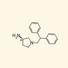 N[C@@H]1CCN(CC(c2ccccc2)c2ccccc2)C1